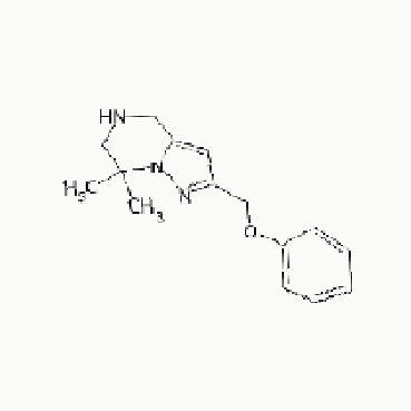 CC1(C)CNCc2cc(COc3ccccc3)nn21